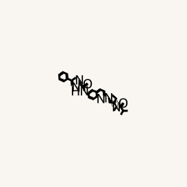 CC(C)C(=O)N(C)[C@@H]1CCN(c2ccc3cc(NC(=O)c4ncc(-c5ccccc5)cn4)ccc3n2)C1